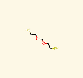 SCCOCOCCS